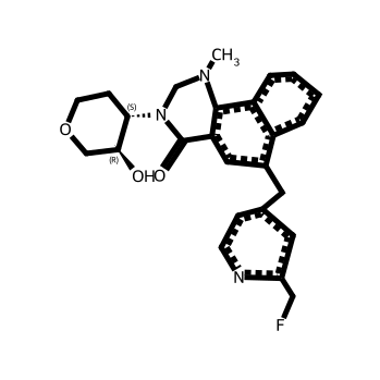 CN1CN([C@H]2CCOC[C@@H]2O)C(=O)c2cc(Cc3ccnc(CF)c3)c3ccccc3c21